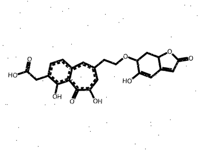 O=C(O)Cc1ccc2cc(CCOC3CC4OC(=O)C=C4C=C3O)cc(O)c(=O)c2c1O